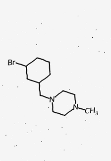 CN1CCN(CC2CCCC(Br)C2)CC1